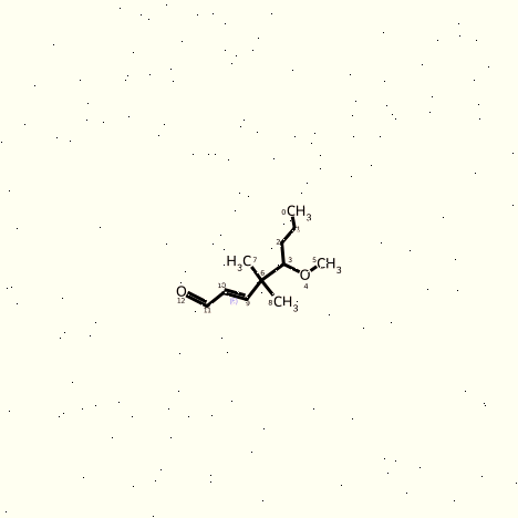 CCCC(OC)C(C)(C)/C=C/C=O